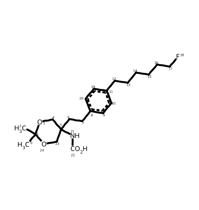 CC1(C)OCC(CCc2ccc(CCCCCCF)cc2)(NC(=O)O)CO1